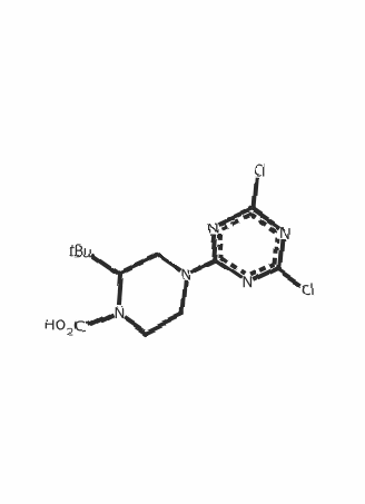 CC(C)(C)C1CN(c2nc(Cl)nc(Cl)n2)CCN1C(=O)O